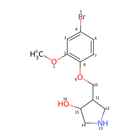 COc1cc(Br)ccc1OCC1CNCC1O